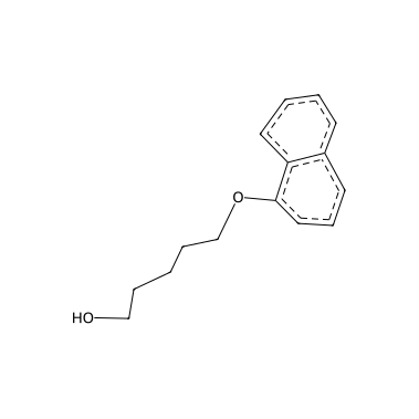 OCCCCCOc1cccc2ccccc12